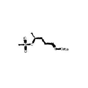 CON=CCC[C@H](C)OS(C)(=O)=O